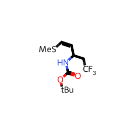 CS/C=C\C(CC(F)(F)F)NC(=O)OC(C)(C)C